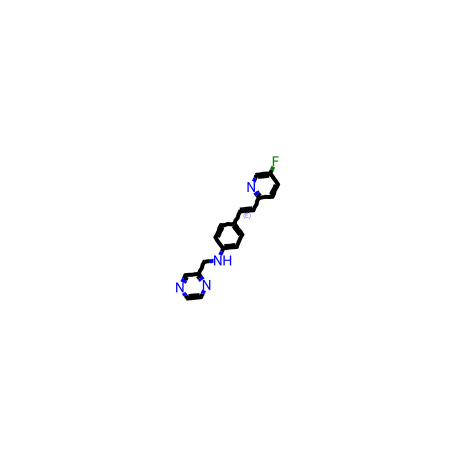 Fc1ccc(/C=C/c2ccc(NCc3cnccn3)cc2)nc1